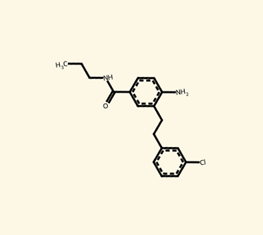 CCCNC(=O)c1ccc(N)c(CCc2cccc(Cl)c2)c1